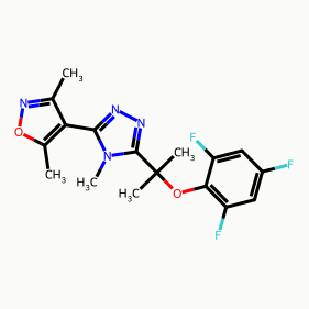 Cc1noc(C)c1-c1nnc(C(C)(C)Oc2c(F)cc(F)cc2F)n1C